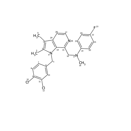 Cc1c(C)n(Cc2ccc(Cl)c(Cl)c2)c2c(CN(C)c3ccc(F)cc3)nccc12